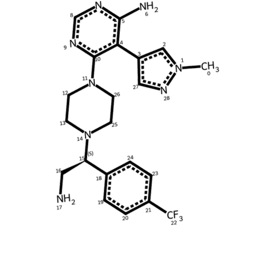 Cn1cc(-c2c(N)ncnc2N2CCN([C@H](CN)c3ccc(C(F)(F)F)cc3)CC2)cn1